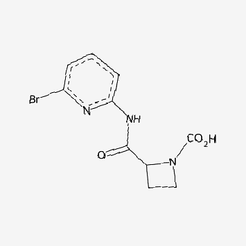 O=C(Nc1cccc(Br)n1)C1CCN1C(=O)O